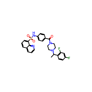 CC(c1ccc(F)cc1F)N1CCN(C(=O)c2ccc(NS(=O)(=O)c3cccc4cccnc34)cc2)CC1